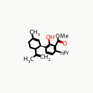 C=C(C)C1CCC(C)=C[C@H]1c1ccc(CCC)c(C(=O)OC)c1O